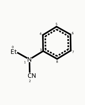 CCN(C#N)c1ccccc1